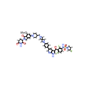 COc1cc(N2CCC(CN3CC4(C3)CN(c3ccc(-c5cnc6[nH]cc(C(=O)c7c(F)ccc(NS(=O)(=O)N8CC[C@@H](F)C8)c7F)c6c5)cc3)C4)CC2)cc2c1C(=O)N([C@H]1CCC(=O)NC1=O)C2